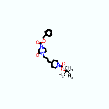 CC(C)(C)OC(=O)N1CCC(CCCN2CCN(C(=O)OCc3ccccc3)CC2=O)CC1